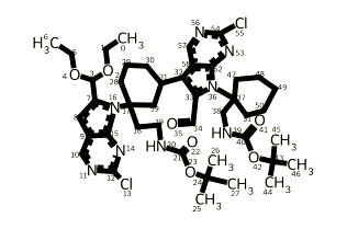 CCOC(OCC)c1cc2cnc(Cl)nc2n1C1(CCNC(=O)OC(C)(C)C)CCCC(c2c(C=O)n(C3(CNC(=O)OC(C)(C)C)CCCCC3)c3nc(Cl)ncc23)C1